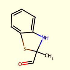 CC1(C=O)Nc2ccccc2S1